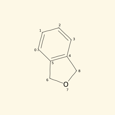 [c]1cccc2c1COC2